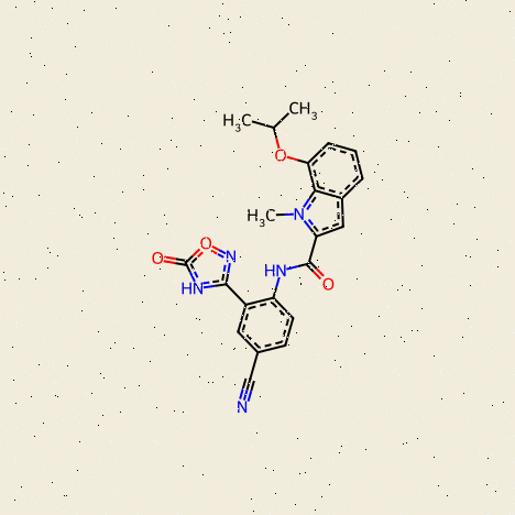 CC(C)Oc1cccc2cc(C(=O)Nc3ccc(C#N)cc3-c3noc(=O)[nH]3)n(C)c12